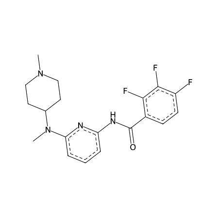 CN1CCC(N(C)c2cccc(NC(=O)c3ccc(F)c(F)c3F)n2)CC1